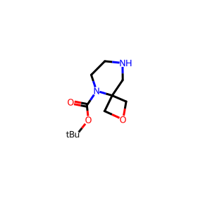 CC(C)(C)OC(=O)N1CCNCC12COC2